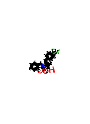 O=C(O)N(Cc1ccccc1)C1(Cc2ccc(Br)cc2)CC1